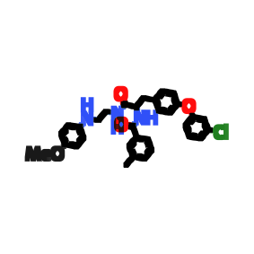 COc1ccc(NCCNC(=O)C(Cc2ccc(Oc3cccc(Cl)c3)cc2)NC(=O)c2cccc(C)c2)cc1